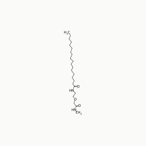 CCCCCCCCCCCCCCCCCC(=O)NCCOCC(=O)NC